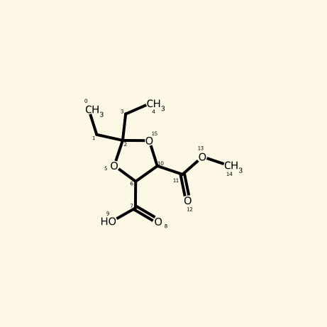 CCC1(CC)OC(C(=O)O)C(C(=O)OC)O1